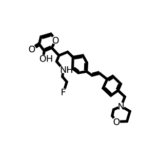 O=c1ccoc(C(CNCCF)Cc2ccc(/C=C/c3ccc(CN4CCOCC4)cc3)cc2)c1O